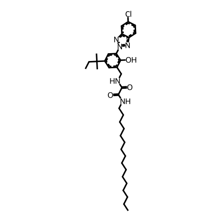 CCCCCCCCCCCCCCCCNC(=O)C(=O)NCc1cc(C(C)(C)CC)cc(-n2nc3ccc(Cl)cc3n2)c1O